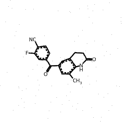 Cc1cc(C(=O)c2ccc(C#N)c(F)c2)cc2c1NC(=O)CC2